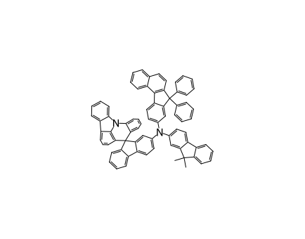 CC1(C)c2ccccc2-c2ccc(N(c3ccc4c(c3)C(c3ccccc3)(c3ccccc3)c3ccc5ccccc5c3-4)c3ccc4c(c3)C3(c5ccccc5-4)c4ccccc4-n4c5ccccc5c5cccc3c54)cc21